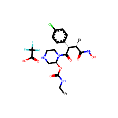 CC[C@H](C(=O)NO)[C@H](C(=O)N1CCNC[C@@H]1OC(=O)NCC(C)C)c1ccc(Cl)cc1.O=C(O)C(F)(F)F